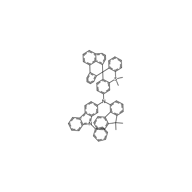 CC1(C)c2ccccc2-c2c(N(c3ccc4c(c3)S(C)(C)c3ccccc3C43c4ccccc4-c4cccc5cccc3c45)c3ccc4c5ccccc5n(-c5ccccc5)c4c3)cccc21